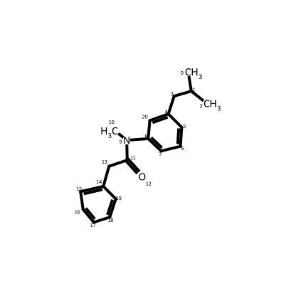 CC(C)Cc1cccc(N(C)C(=O)Cc2ccccc2)c1